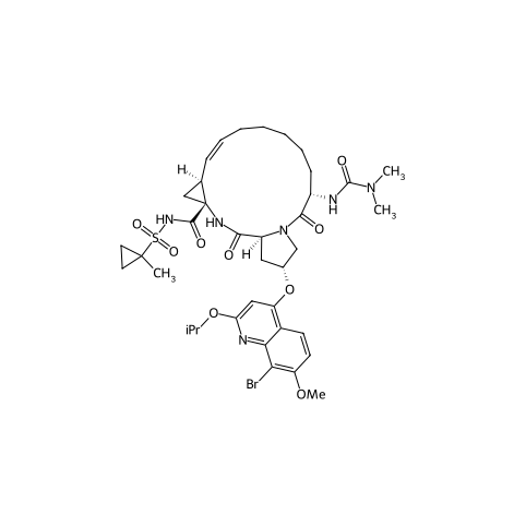 COc1ccc2c(O[C@@H]3C[C@H]4C(=O)N[C@]5(C(=O)NS(=O)(=O)C6(C)CC6)C[C@H]5/C=C\CCCCC[C@H](NC(=O)N(C)C)C(=O)N4C3)cc(OC(C)C)nc2c1Br